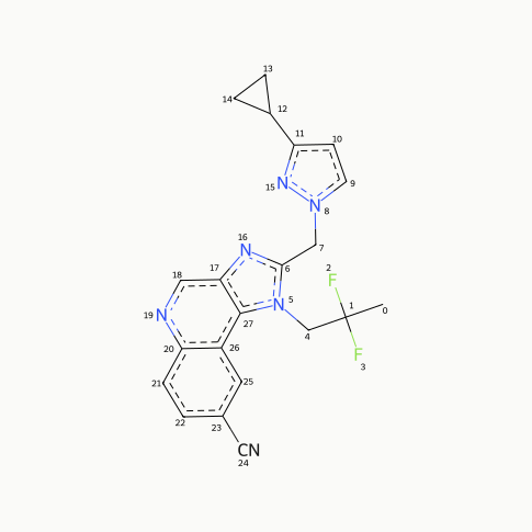 CC(F)(F)Cn1c(Cn2ccc(C3CC3)n2)nc2cnc3ccc(C#N)cc3c21